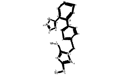 CCCCCc1nc(OCC)nn1Cc1ccc(-c2ccccc2-c2nnn[nH]2)cc1